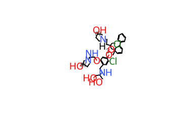 CC1(Cl)C(c2ccccc2)=CC=CC1(COc1cc(OCC(=N)N2CC[C@@H](O)C2)c(CNC(CO)CO)cc1Cl)OCCCN1CC[C@@H](O)C1